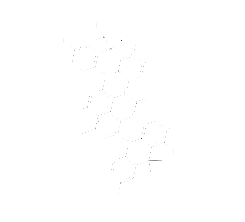 Cc1cc2c3c4c5c(cc(C)c14)B1c4ccc(F)cc4C(C(F)(F)F)(C(F)(F)F)c4c(F)c(F)cc(c41)N5C(=O)N3c1cc(F)c(F)c3c1B2c1ccc(F)cc1C3(C)C